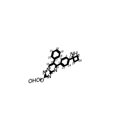 NC1(c2ccc(-c3nc4nc(OC=O)nn4cc3-c3ccccc3)cc2)CCC1